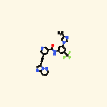 Cc1cn(-c2cc(NC(=O)c3cncc(C#Cc4cnc5cccnn45)c3)cc(C(F)(F)F)c2)cn1